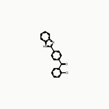 O=C(c1ccc(-c2nc3ccccc3[nH]2)cc1)c1ccccc1Cl